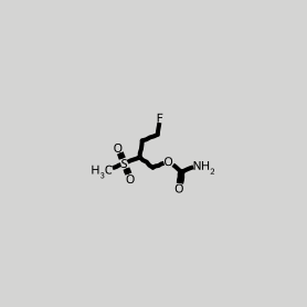 CS(=O)(=O)C(CCF)COC(N)=O